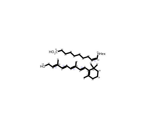 CC1=C(/C=C/C(C)=C/C=C/C(C)=C/CO)C(C)(C)CCC1.CCCCCC/C=C\CCCCCCCC(=O)O